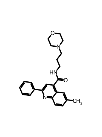 Cc1ccc2nc(-c3ccccc3)cc(C(=O)NCCCN3CCOCC3)c2c1